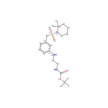 CC(C)(C)OC(=O)NCCNc1cccc(CS(=O)(=O)N2CCCCC2(C)C)c1